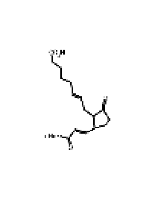 CCCCCCC(=O)C=CC1CCC(=O)C1CC=CCCCCC(=O)O